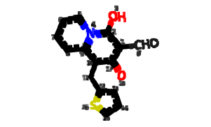 O=Cc1c(O)n2ccccc2c(Cc2cccs2)c1=O